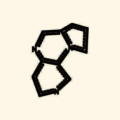 c1cc2cnc3ccncc3n2c1